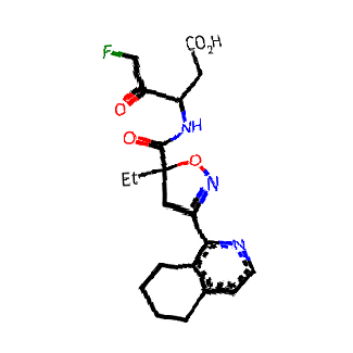 CCC1(C(=O)NC(CC(=O)O)C(=O)CF)CC(c2nccc3c2CCCC3)=NO1